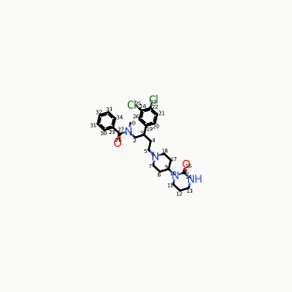 CN(CC(CCN1CCC(N2CCCNC2=O)CC1)c1ccc(Cl)c(Cl)c1)C(=O)c1ccccc1